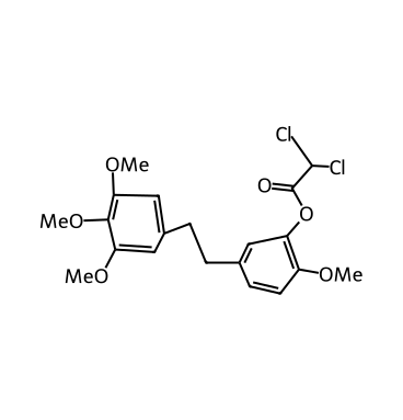 COc1ccc(CCc2cc(OC)c(OC)c(OC)c2)cc1OC(=O)C(Cl)Cl